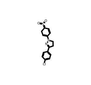 O=S(=O)=C1C=CC(N2CCC(c3ccc(Cl)cc3)=N2)=CC1